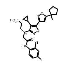 CC1(c2cc(-c3onc([C@@H](CCC(=O)O)CC(=O)Nc4ccc(F)cc4Cl)c3C3CC3)no2)CCCC1